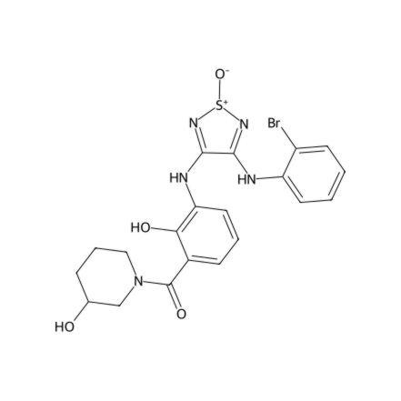 O=C(c1cccc(Nc2n[s+]([O-])nc2Nc2ccccc2Br)c1O)N1CCCC(O)C1